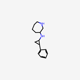 c1ccc(C2CC2NC2CCCCNC2)cc1